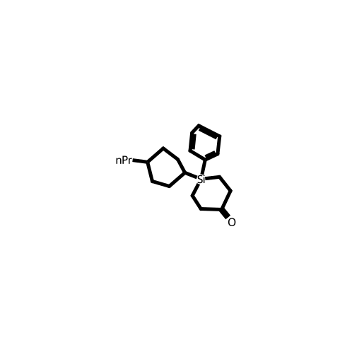 CCCC1CCC([Si]2(c3ccccc3)CCC(=O)CC2)CC1